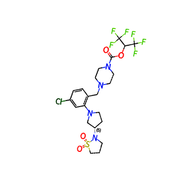 O=C(OC(C(F)(F)F)C(F)(F)F)N1CCN(Cc2ccc(Cl)cc2N2CC[C@H](N3CCCS3(=O)=O)C2)CC1